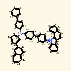 c1ccc(-c2ccc(N(c3ccc(-c4ccc(-n5c6ccccc6c6ccc7ccccc7c65)cc4)cc3)c3cccc(-c4ccc5ccccc5c4)c3)cc2)cc1